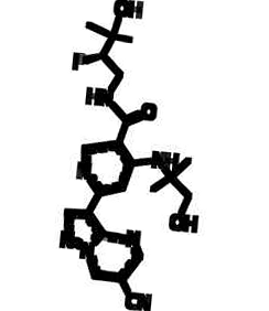 CC(C)(CO)Nc1cc(-c2cnn3cc(C#N)cnc23)ncc1C(=O)NC[C@@H](F)C(C)(C)O